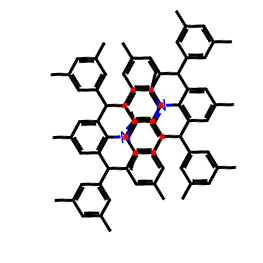 CC(=Nc1c(C(c2cc(C)cc(C)c2)c2cc(C)cc(C)c2)cc(C)cc1C(c1cc(C)cc(C)c1)c1cc(C)cc(C)c1)C(C)=Nc1c(C(c2cc(C)cc(C)c2)c2cc(C)cc(C)c2)cc(C)cc1C(c1cc(C)cc(C)c1)c1cc(C)cc(C)c1